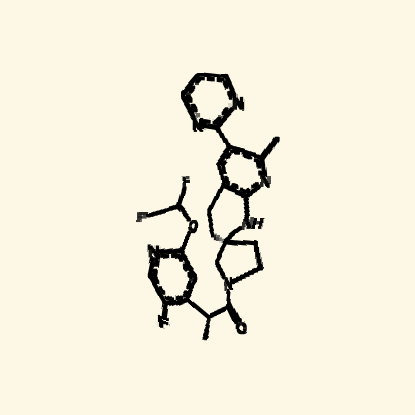 Cc1nc2c(cc1-c1ncccn1)CC[C@@]1(CCN(C(=O)[C@@H](C)c3cc(OC(F)F)ncc3F)C1)N2